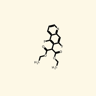 CCOC(=O)C(C(=O)OCC)c1c(F)cc2ncccc2c1F